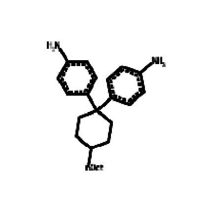 CCCCCCCCC1CCC(c2ccc(N)cc2)(c2ccc(N)cc2)CC1